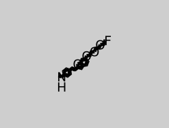 CNc1ccc(C=Cc2cc3ccc(OCCOCCOCCF)cc3o2)cc1